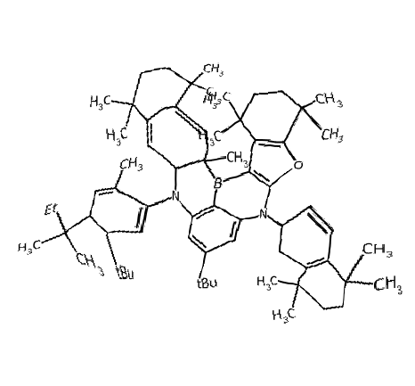 CCC(C)(C)C1C=C(C)C(N2c3cc(C(C)(C)C)cc4c3B(c3c(oc5c3C(C)(C)CCC5(C)C)N4C3C=CC4=C(C3)C(C)(C)CCC4(C)C)C3(C)C=C4C(=CC23)C(C)(C)CCC4(C)C)=CC1C(C)(C)C